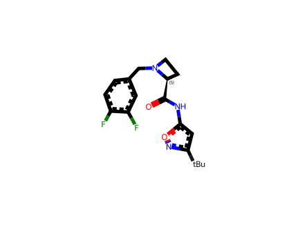 CC(C)(C)c1cc(NC(=O)[C@@H]2CCN2Cc2ccc(F)c(F)c2)on1